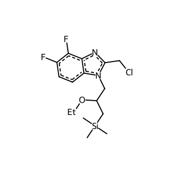 CCOC(Cn1c(CCl)nc2c(F)c(F)ccc21)C[Si](C)(C)C